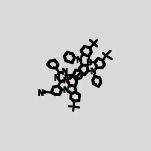 CC(C)(C)c1ccc2c(c1)B1c3cc(C(C)(C)C)ccc3N(c3ccccc3)c3cc(-c4ccc5c(c4)c4ccc(C(C)(C)C)cc4n5-c4ccc(C#N)cc4-c4nc(-c5ccccc5)nc(-c5ccccc5)n4)cc(c31)N2c1ccccc1